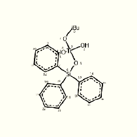 CCC(C)[O][Ti]([OH])([OH])[O][Si](c1ccccc1)(c1ccccc1)c1ccccc1